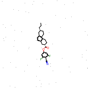 CCC[C@H]1CCc2c(ccc3c2CC[C@H](C(=O)Oc2cc(F)c(C#N)c(F)c2)C3)C1